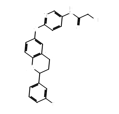 O=C(CCl)Nc1ccc(Oc2ccc3c(c2)CCC(c2cccc(F)c2)O3)nc1